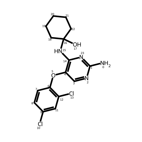 Nc1ncc(Oc2ccc(Cl)cc2Cl)c(NC2(O)CCCCC2)n1